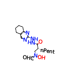 CCCCC[C@H](CN(O)C=O)C(=O)NNc1ncc2c(n1)CCCC2